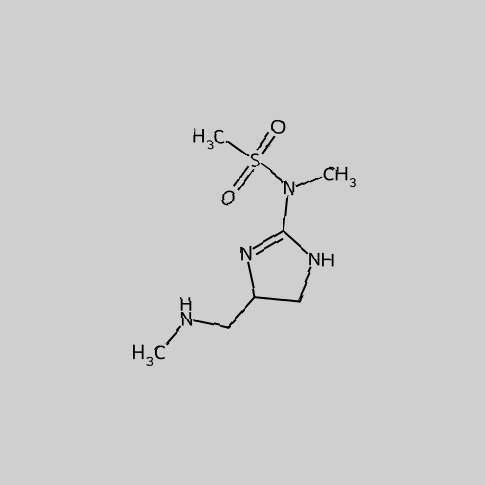 CNCC1CNC(N(C)S(C)(=O)=O)=N1